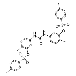 Cc1ccc(S(=O)(=O)Oc2cc(NC(=O)Nc3ccc(C)c(OS(=O)(=O)c4ccc(C)cc4)c3)ccc2C)cc1